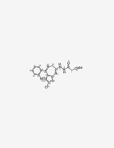 COCC(=O)NNC1=Nc2sc(Cl)cc2C(c2ccccc2[N+](=O)[O-])=NC1